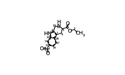 CCOC(=O)C1Cc2c([nH]c3cc([N+](=O)[O-])ccc23)CN1